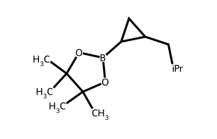 CC(C)CC1CC1B1OC(C)(C)C(C)(C)O1